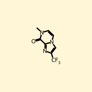 Cn1ccn2cc(C(F)(F)F)nc2c1=O